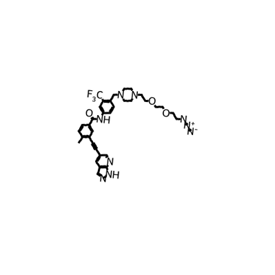 Cc1ccc(C(=O)Nc2ccc(CN3CCN(CCOCCOCCN=[N+]=[N-])CC3)c(C(F)(F)F)c2)cc1C#Cc1cnc2[nH]ncc2c1